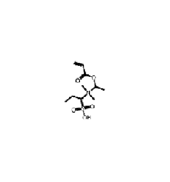 C=CC(=O)OC(C)[N+](C)(C)C(CC)S(=O)(=O)O